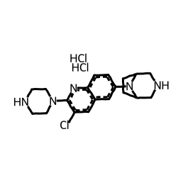 Cl.Cl.Clc1cc2cc(N3C4CCC3CNC4)ccc2nc1N1CCNCC1